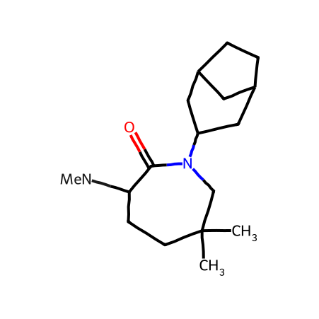 CNC1CCC(C)(C)CN(C2CC3CCC(C3)C2)C1=O